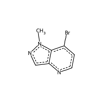 Cn1ncc2nccc(Br)c21